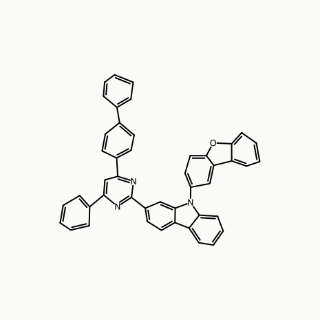 c1ccc(-c2ccc(-c3cc(-c4ccccc4)nc(-c4ccc5c6ccccc6n(-c6ccc7oc8ccccc8c7c6)c5c4)n3)cc2)cc1